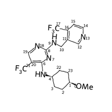 CO[C@H]1CC[C@@H](Nc2nc(NCc3cnccc3C(F)(F)F)ncc2C(F)(F)F)CC1